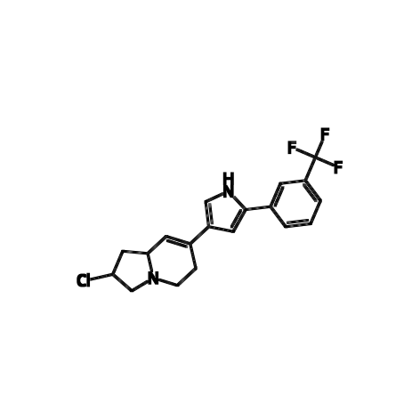 FC(F)(F)c1cccc(-c2cc(C3=CC4CC(Cl)CN4CC3)c[nH]2)c1